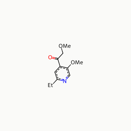 CCc1cc(C(=O)COC)c(OC)cn1